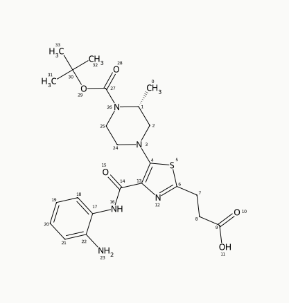 C[C@@H]1CN(c2sc(CCC(=O)O)nc2C(=O)Nc2ccccc2N)CCN1C(=O)OC(C)(C)C